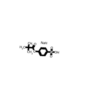 CC(C)(C)C(=O)Oc1ccc(S(=O)(=O)O)cc1.[NaH]